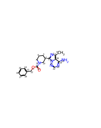 Cc1nc([C@@H]2CCCN(C(=O)OCc3ccccc3)C2)n2ncnc(N)c12